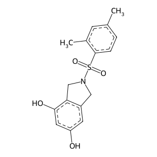 Cc1ccc(S(=O)(=O)N2Cc3cc(O)cc(O)c3C2)c(C)c1